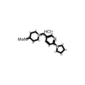 CNC1CCN(Cc2ccc(N3CCCC3)nc2)CC1.Cl